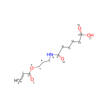 C=CC(=O)OCCCNC(=O)CCCCC(=O)O